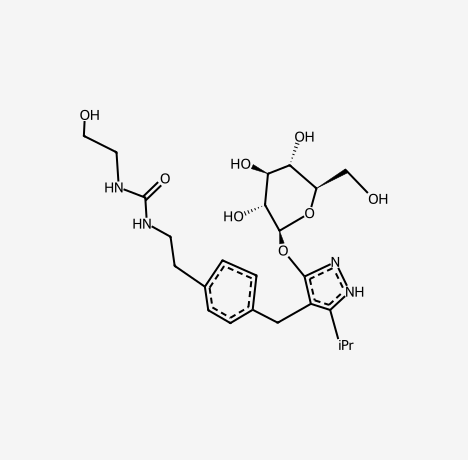 CC(C)c1[nH]nc(O[C@@H]2O[C@H](CO)[C@@H](O)[C@H](O)[C@H]2O)c1Cc1ccc(CCNC(=O)NCCO)cc1